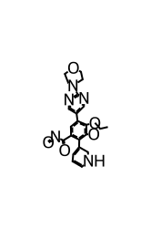 CC1Oc2c(-c3cnc(N4CCOCC4)nc3)cc(C(=O)N=O)c(C3=CC=CNC3)c2O1